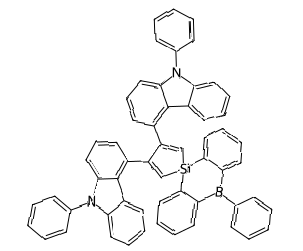 C1=C(c2cccc3c2c2ccccc2n3-c2ccccc2)C(c2cccc3c2c2ccccc2n3-c2ccccc2)=C[Si]12c1ccccc1B(c1ccccc1)c1ccccc12